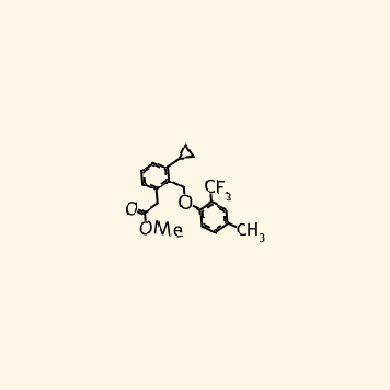 COC(=O)Cc1cccc(C2CC2)c1COc1ccc(C)cc1C(F)(F)F